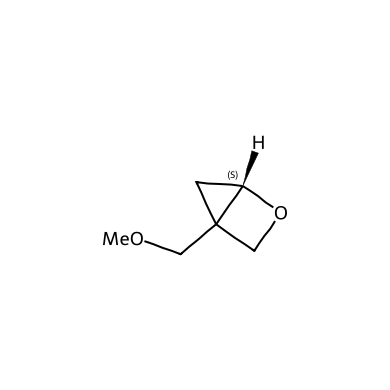 COCC12CO[C@H]1C2